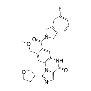 COCc1cc2c(cc1C(=O)N1CC3=C(CC(F)=CC=C3)C1)[nH]c(=O)c1cnc(C3CCOC3)n12